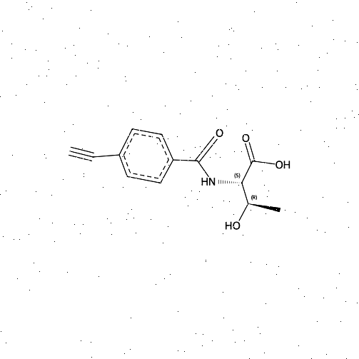 C#Cc1ccc(C(=O)N[C@H](C(=O)O)[C@@H](C)O)cc1